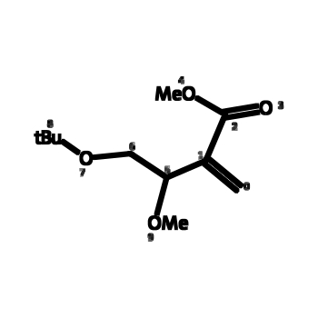 C=C(C(=O)OC)C(COC(C)(C)C)OC